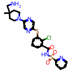 CC1(CN)CCN(c2cnc(Sc3cccc(C(=O)NS(=O)(=O)c4ccccn4)c3Cl)cn2)CC1